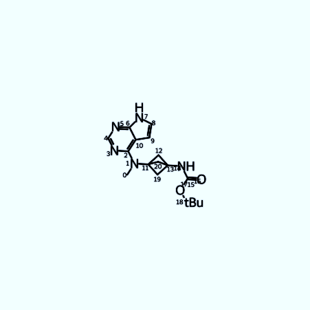 CN(c1ncnc2[nH]ccc12)C12CC(NC(=O)OC(C)(C)C)(C1)C2